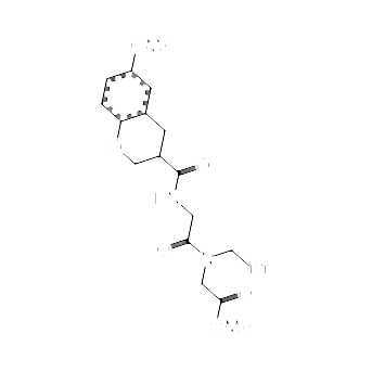 COC(=O)CN(CC(C)C)C(=O)CNC(=O)C1COc2ccc(OC)cc2C1